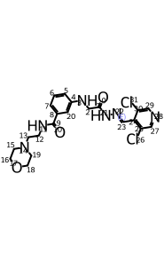 O=C(CNc1cccc(C(=O)NCCN2CCOCC2)c1)N/N=C/c1c(Cl)cncc1Cl